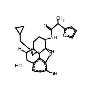 CC(C(=O)N[C@@H]1CC[C@@]2(O)[C@H]3Cc4ccc(O)c5c4[C@@]2(CCN3CC2CC2)[C@H]1O5)c1ccco1.Cl